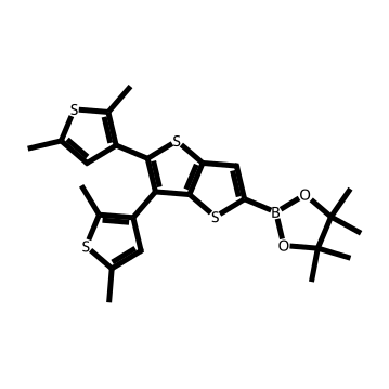 Cc1cc(-c2sc3cc(B4OC(C)(C)C(C)(C)O4)sc3c2-c2cc(C)sc2C)c(C)s1